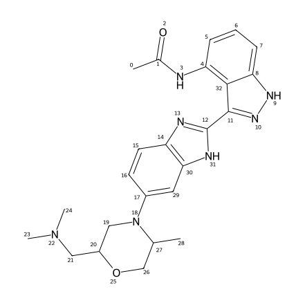 CC(=O)Nc1cccc2[nH]nc(-c3nc4ccc(N5CC(CN(C)C)OCC5C)cc4[nH]3)c12